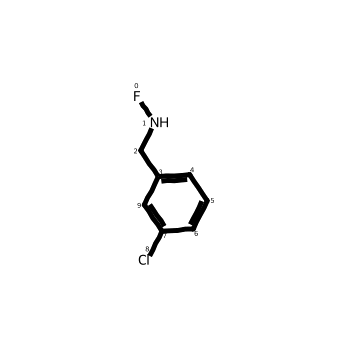 FNCc1cccc(Cl)c1